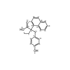 CCC(Sc1ccc(O)cc1)(C(=O)O)c1cccc2ccccc12